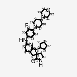 O=C1NCCC12Cc1cnc(Nc3ccc(N4CCC(N5CCOCC5)CC4)c(F)c3)nc1N2C1CCCC1